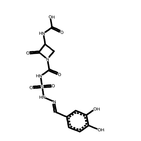 O=C(O)NC1CN(C(=O)NS(=O)(=O)NN=Cc2ccc(O)c(O)c2)C1=O